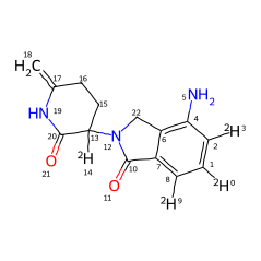 [2H]c1c([2H])c(N)c2c(c1[2H])C(=O)N(C1([2H])CCC(=C)NC1=O)C2